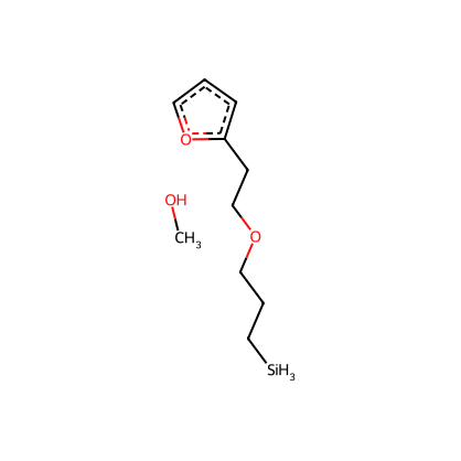 CO.[SiH3]CCCOCCc1ccco1